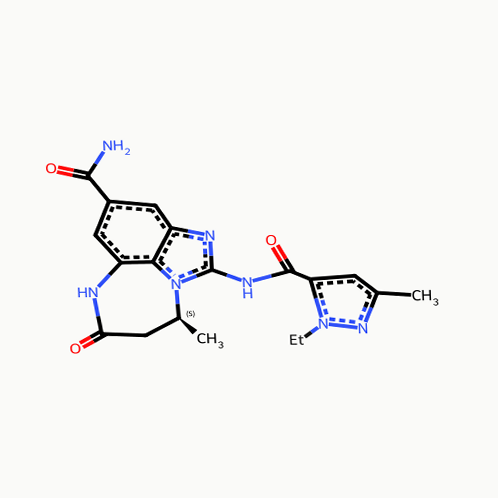 CCn1nc(C)cc1C(=O)Nc1nc2cc(C(N)=O)cc3c2n1[C@@H](C)CC(=O)N3